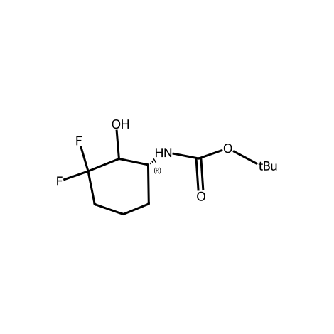 CC(C)(C)OC(=O)N[C@@H]1CCCC(F)(F)C1O